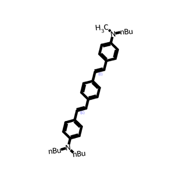 CCCCN(C)c1ccc(/C=C/c2ccc(/C=C/c3ccc(N(CCCC)CCCC)cc3)cc2)cc1